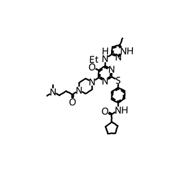 CCOc1c(Nc2cc(C)[nH]n2)nc(Sc2ccc(NC(=O)C3CCCC3)cc2)nc1N1CCN(C(=O)CCN(C)C)CC1